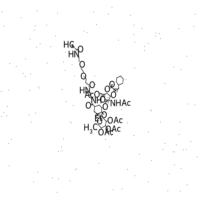 C#CC(=O)NCCOCCOCCC(=O)NCCNC(=O)C1CC(O[C@@H]2O[C@@H](COC(C)=O)C3OC(=O)[C@@H](CC4CCCCC4)OC3C2NC(C)=O)C(OC2OC(C)C(OC(C)=O)C(OC(C)=O)C2OC(C)=O)[C@H](CC)C1